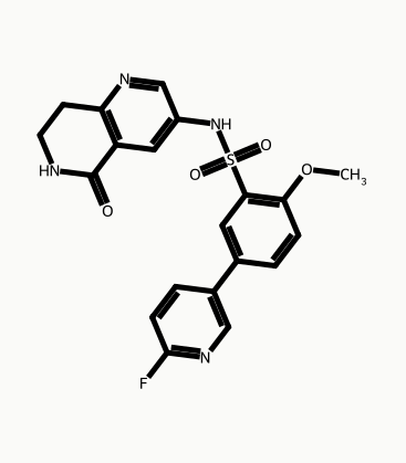 COc1ccc(-c2ccc(F)nc2)cc1S(=O)(=O)Nc1cnc2c(c1)C(=O)NCC2